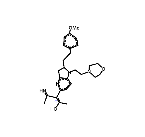 COc1ccc(CCC2Cc3nc(/C(C(C)=N)=C(\C)O)ccc3N2CCN2CCOCC2)cc1